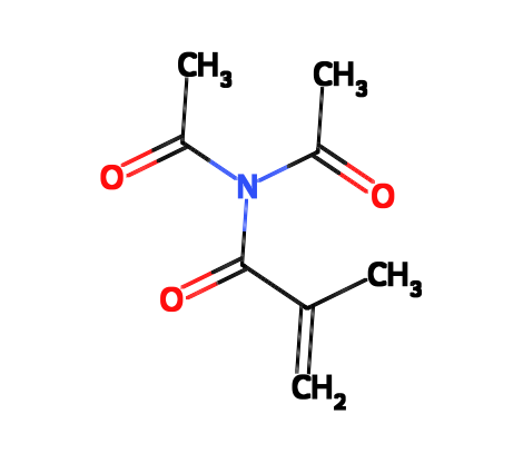 C=C(C)C(=O)N(C(C)=O)C(C)=O